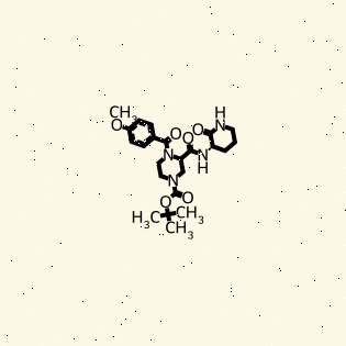 COc1ccc(C(=O)N2CCN(C(=O)OC(C)(C)C)CC2C(=O)N[C@H]2CCCNC2=O)cc1